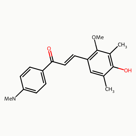 CNc1ccc(C(=O)C=Cc2cc(C)c(O)c(C)c2OC)cc1